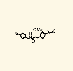 C#CCOc1ccc(CCC(=O)NCc2ccc(Br)cc2)cc1OC